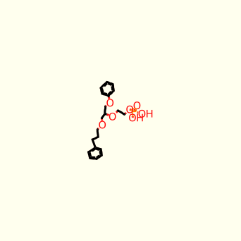 O=P(O)(O)OCCOC(COCCCc1ccccc1)COc1ccccc1